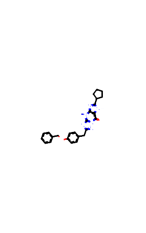 CCn1c2nc(C3CCCC3)[nH]c2c(=O)n2nc(Cc3ccc(OCc4ccccc4)cc3)nc12